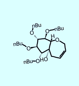 CCCCO[C@@H]1[C@@H](OCCCC)[C@@H]2OCC=CC[C@@]2(O)[C@H](OCCCC)[C@H]1OCCCC